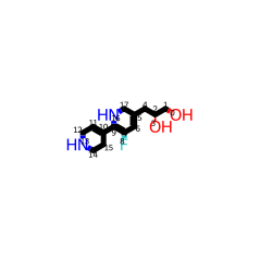 OC[C@H](O)CC1=CC(F)=C(C2=CCNCC2)NC1